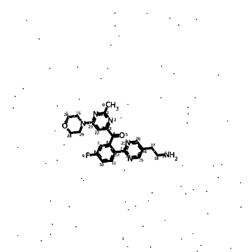 Cc1nc(C(=O)c2cc(F)ccc2-c2ncc(CCN)cn2)cc(N2CCOCC2)n1